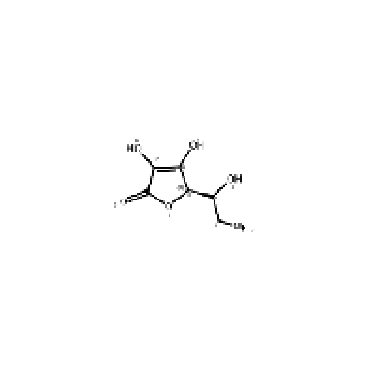 O=C1O[C@H](C(O)C[18F])C(O)=C1O